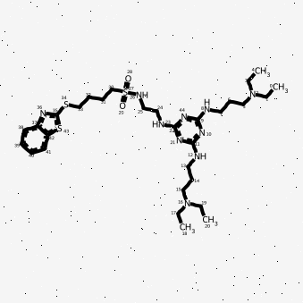 CCN(CC)CCCNc1nc(NCCCN(CC)CC)nc(NCCNS(=O)(=O)CCCCSc2nc3ccccc3s2)n1